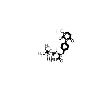 Cn1ccc(=O)n(-c2ccc(C[C@H](NC(=O)OC(C)(C)C)C(=O)O)cc2)c1=O